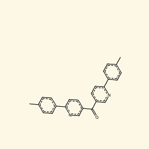 Cc1ccc(-c2ccc(C(=O)c3ccc(-c4ccc(C)cc4)nc3)cn2)cc1